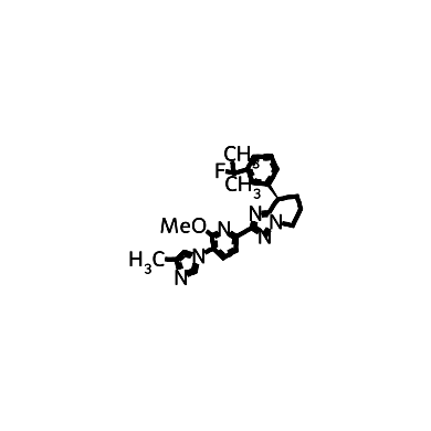 COc1nc(-c2nc3n(n2)CCC[C@@H]3c2cccc(C(C)(C)F)c2)ccc1-n1cnc(C)c1